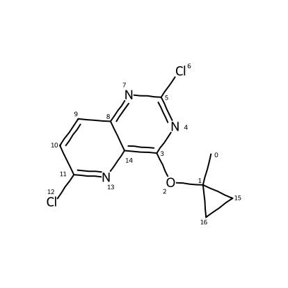 CC1(Oc2nc(Cl)nc3ccc(Cl)nc23)CC1